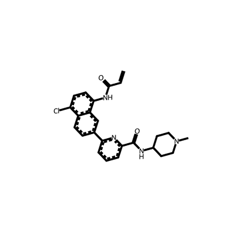 C=CC(=O)Nc1ccc(Cl)c2ccc(-c3cccc(C(=O)NC4CCN(C)CC4)n3)cc12